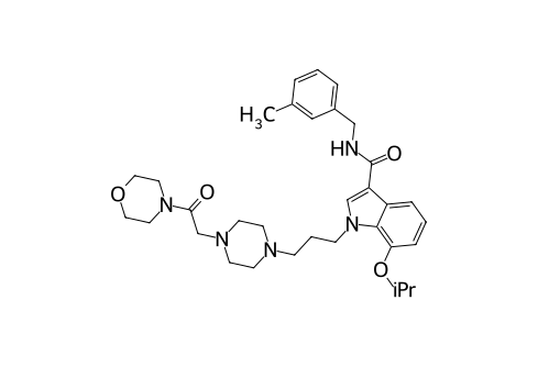 Cc1cccc(CNC(=O)c2cn(CCCN3CCN(CC(=O)N4CCOCC4)CC3)c3c(OC(C)C)cccc23)c1